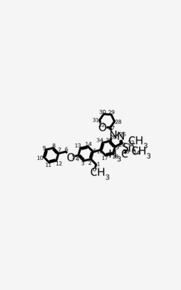 CCc1cc(OCc2ccccc2)ccc1-c1ccc2[c]([Sn]([CH3])([CH3])[CH3])nn(C3CCCCO3)c2c1